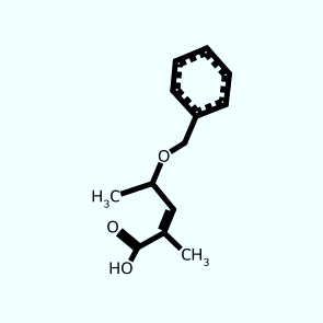 CC(=CC(C)OCc1ccccc1)C(=O)O